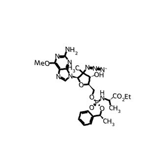 CCOC(=O)[C@H](C)NP(=O)(OC[C@H]1O[C@@H](n2cnc3c(OC)nc(N)nc32)C(C)(N=[N+]=[N-])[C@@H]1O)O[C@@H](C)c1ccccc1